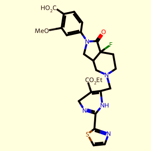 CCOC(=O)C1=C(CN2CCC3(F)C(=O)N(c4ccc(C(=O)O)c(OC)c4)CC3C2)NC(c2nccs2)=NC1